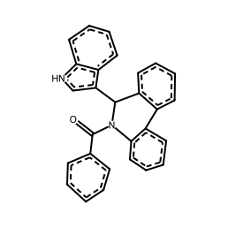 O=C(c1ccccc1)N1c2ccccc2-c2ccccc2C1c1c[nH]c2ccccc12